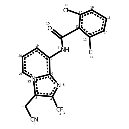 N#CCc1c(C(F)(F)F)nc2c(NC(=O)c3c(Cl)cccc3Cl)cccn12